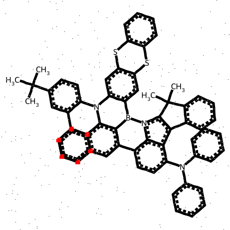 CC(C)(C)c1ccc(N2c3cc4c(cc3B3c5c(cc6ccccc6c52)-c2ccc(N(c5ccccc5)c5ccccc5)c5c6c(n3c25)C(C)(C)c2ccccc2-6)Sc2ccccc2S4)c(-c2ccccc2)c1